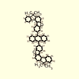 CC1(C)c2ccccc2-c2c1ccc1oc3cc(-c4c5ccccc5c(-c5ccc6c(c5)oc5ccc7c(c56)-c5ccccc5C7(C)C)c5ccccc45)ccc3c21